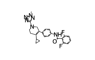 Cn1nnc(N2CCC(C3CC3)=C(c3ccc(NC(=O)c4c(F)cccc4F)cc3)C2)n1